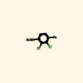 CC(=O)Nc1ccc(C(C)=O)c(Cl)c1Cl